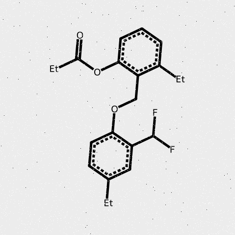 CCC(=O)Oc1cccc(CC)c1COc1ccc(CC)cc1C(F)F